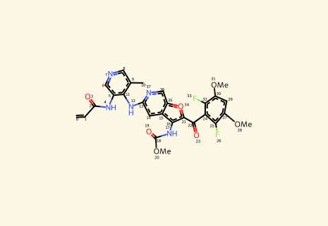 C=CC(=O)Nc1cncc(C)c1Nc1cc2c(NC(=O)OC)c(C(=O)c3c(F)c(OC)cc(OC)c3F)oc2cn1